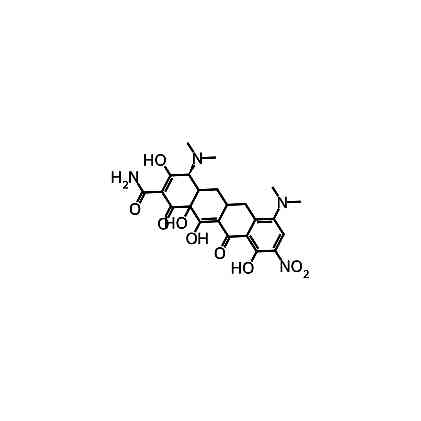 CN(C)c1cc([N+](=O)[O-])c(O)c2c1CC1CC3[C@H](N(C)C)C(O)=C(C(N)=O)C(=O)C3(O)C(O)=C1C2=O